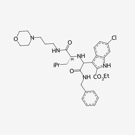 CCOC(=O)c1[nH]c2cc(Cl)ccc2c1C(N[C@H](CC(C)C)C(=O)NCCCN1CCOCC1)C(=O)NCc1ccccc1